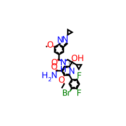 CCOc1c(C(N)=O)cc([C@@](O)(CNC(=O)c2cc(OC)c3nn(C4CC4)cc3c2)C2CC2)nc1-c1cc(Br)c(F)cc1F